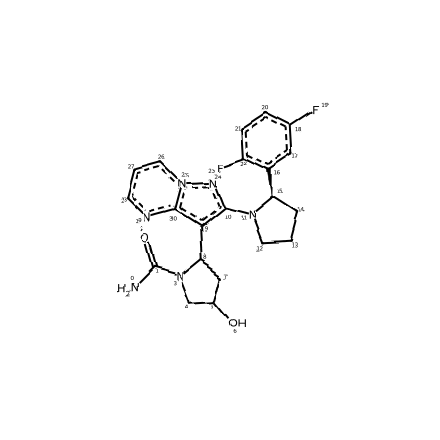 NC(=O)N1CC(O)CC1c1c(N2CCC[C@@H]2c2cc(F)ccc2F)nn2cccnc12